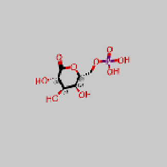 O=C1O[C@H](COP(=O)(O)O)[C@@H](O)[C@@H](O)[C@@H]1O